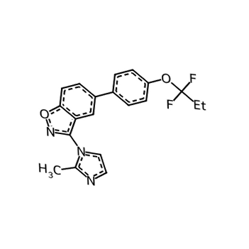 CCC(F)(F)Oc1ccc(-c2ccc3onc(-n4ccnc4C)c3c2)cc1